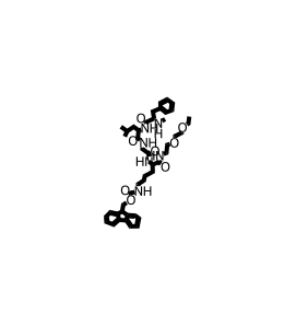 CCOCCOCCNC(=O)C(CCCCNC(=O)OCC1c2ccccc2-c2ccccc21)NC(=O)CNC(=O)C(CC(C)C)NC(=O)C(Cc1ccccc1)NC